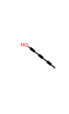 CC#CC#CC#CO